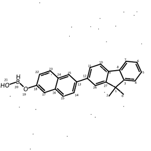 CC1(C)c2ccccc2-c2ccc(-c3ccc4cc(OBO)ccc4c3)cc21